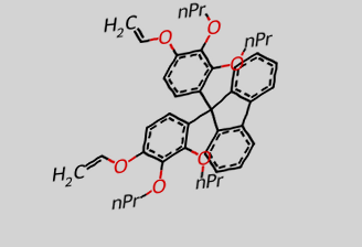 C=COc1ccc(C2(c3ccc(OC=C)c(OCCC)c3OCCC)c3ccccc3-c3ccccc32)c(OCCC)c1OCCC